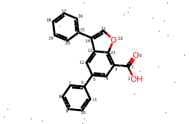 O=C(O)c1cc(-c2ccccc2)cc2c(-c3ccccc3)coc12